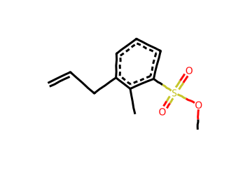 C=CCc1cccc(S(=O)(=O)OC)c1C